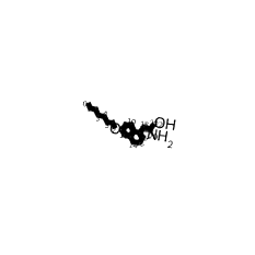 CCCCCCCOc1ccc2c(c1)CCC=C2C[C@H](N)CO